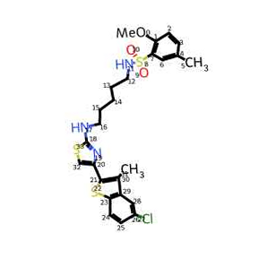 COc1ccc(C)cc1S(=O)(=O)NCCCCCNc1nc(-c2sc3ccc(Cl)cc3c2C)cs1